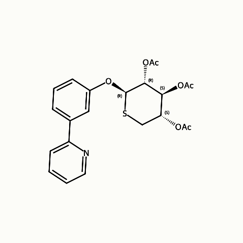 CC(=O)O[C@@H]1[C@@H](OC(C)=O)[C@H](OC(C)=O)CS[C@H]1Oc1cccc(-c2ccccn2)c1